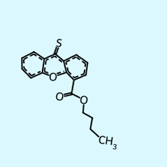 CCCCOC(=O)c1cccc2c(=S)c3ccccc3oc12